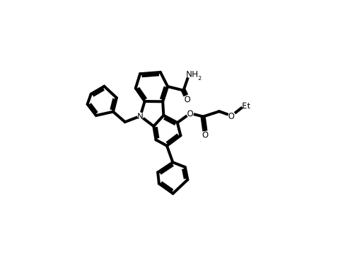 CCOCC(=O)Oc1cc(-c2ccccc2)cc2c1c1c(C(N)=O)cccc1n2Cc1ccccc1